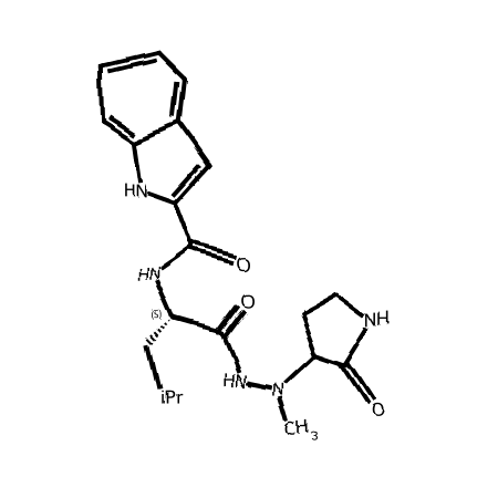 CC(C)C[C@H](NC(=O)c1cc2ccccc2[nH]1)C(=O)NN(C)C1CCNC1=O